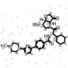 CN1CCN(c2nc(-c3ccc(C(=O)N[C@H](C(=O)N4C[C@H](C(C)(C)C)[C@H]5OCC(=O)[C@H]54)C4CCCCC4)cc3)cs2)CC1